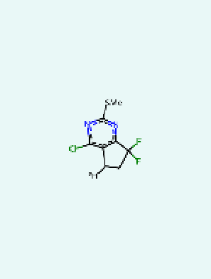 [2H]C1CC(F)(F)c2nc(SC)nc(Cl)c21